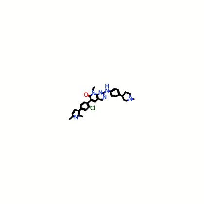 CCn1c(=O)c(-c2ccc(-c3ccc(C)nc3C)cc2Cl)cc2cnc(Nc3ccc(C4CCN(C)CC4)cc3)nc21